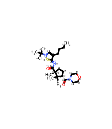 CCCCc1cn(C(C)(C)C)s/c1=N\C(=O)[C@]1(C)CC[C@H](C(=O)N2CCOCC2)C1(C)C